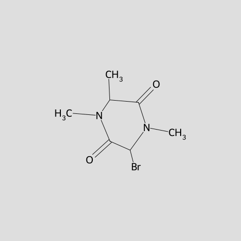 CC1C(=O)N(C)C(Br)C(=O)N1C